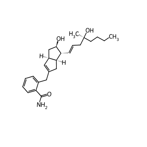 CCCC[C@](C)(O)C/C=C/[C@@H]1[C@H]2CC(Cc3ccccc3C(N)=O)=C[C@H]2C[C@H]1O